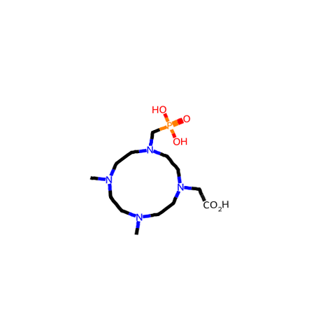 CN1CCN(C)CCN(CP(=O)(O)O)CCN(CC(=O)O)CC1